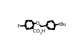 CC(C)(C)c1ccc(COc2ccc(F)cc2C(=O)O)cc1